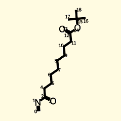 C=NC(=O)CCCCCCCCC(=O)OC(C)(C)C